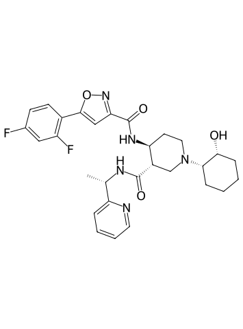 C[C@H](NC(=O)[C@H]1CN([C@H]2CCCC[C@H]2O)CC[C@@H]1NC(=O)c1cc(-c2ccc(F)cc2F)on1)c1ccccn1